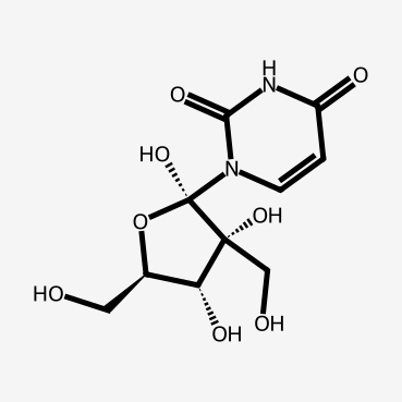 O=c1ccn([C@]2(O)O[C@H](CO)[C@@H](O)[C@]2(O)CO)c(=O)[nH]1